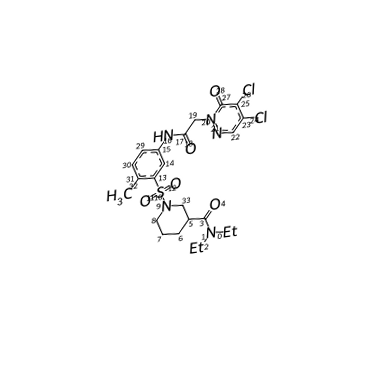 CCN(CC)C(=O)C1CCCN(S(=O)(=O)c2cc(NC(=O)Cn3ncc(Cl)c(Cl)c3=O)ccc2C)C1